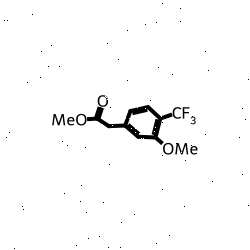 COC(=O)Cc1ccc(C(F)(F)F)c(OC)c1